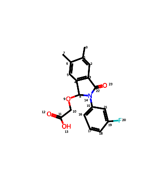 Cc1cc2c(cc1C)C(OCC(=O)O)N(c1cccc(F)c1)C2=O